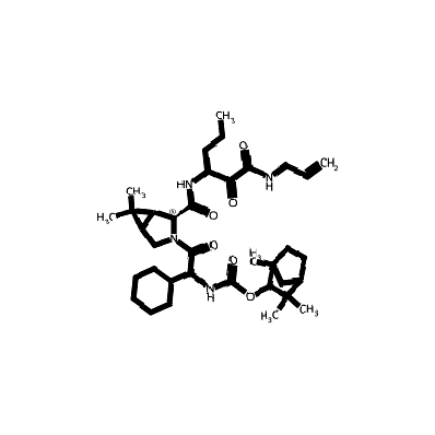 C=CCNC(=O)C(=O)C(CCC)NC(=O)[C@@H]1C2C(CN1C(=O)C(NC(=O)OC1C3(C)CCC(C3)C1(C)C)C1CCCCC1)C2(C)C